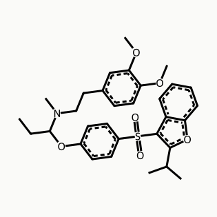 CCC(Oc1ccc(S(=O)(=O)c2c(C(C)C)oc3ccccc23)cc1)N(C)CCc1ccc(OC)c(OC)c1